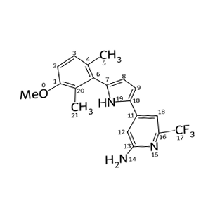 COc1ccc(C)c(-c2ccc(-c3cc(N)nc(C(F)(F)F)c3)[nH]2)c1C